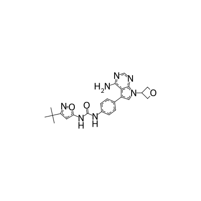 CC(C)(C)c1cc(NC(=O)Nc2ccc(-c3cn(C4COC4)c4ncnc(N)c34)cc2)on1